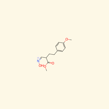 COC(=O)C(/C=N\O)CCc1ccc(OC)cc1